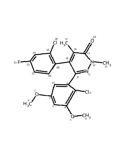 COc1cc(OC)c(Cl)c(-c2nn(C)c(=O)c(C)c2-c2ccc(F)cc2Cl)c1